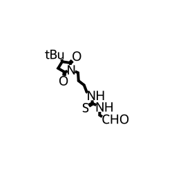 CC(C)(C)C1CC(=O)N(CCCCNC(=S)NCC=O)C1=O